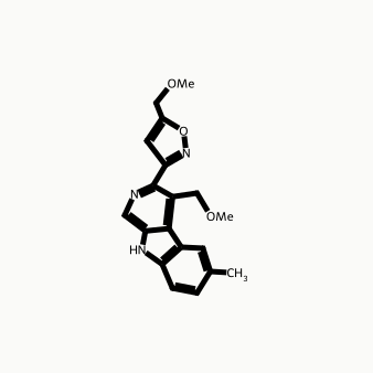 COCc1cc(-c2ncc3[nH]c4ccc(C)cc4c3c2COC)no1